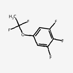 CC(F)(F)Oc1cc(F)c(F)c(F)c1